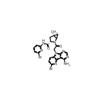 C[C@]12CC1N(C(=O)Cn1c3ccc(Br)nc3c3c(N)ncnc31)[C@H](C(=O)Nc1cccc(Br)n1)C2